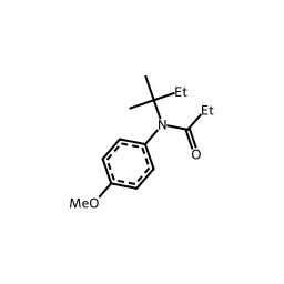 CCC(=O)N(c1ccc(OC)cc1)C(C)(C)CC